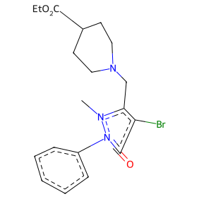 CCOC(=O)C1CCN(Cc2c(Br)c(=O)n(-c3ccccc3)n2C)CC1